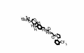 CC(C)(C)[Si](C)(C)O[C@@H]1CO[C@@H]2C[C@H]1Nc1ccc(CNC(=O)NCC(=O)N3CCC[C@@H]3c3ccccc3C(F)(F)F)cc12